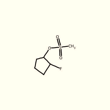 CS(=O)(=O)OC1CCCC1F